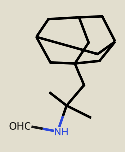 CC(C)(CC12CC3CC(CC(C3)C1)C2)NC=O